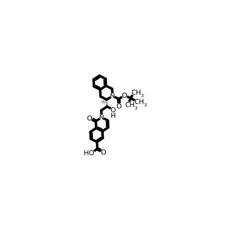 CC(C)(C)OC(=O)N1Cc2ccccc2C[C@H]1C(O)Cn1ccc2cc(C(=O)O)ccc2c1=O